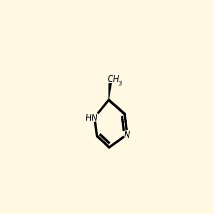 C[C@H]1C=NC=CN1